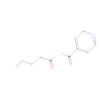 C=CCCC(=O)OC(=O)c1ccncc1